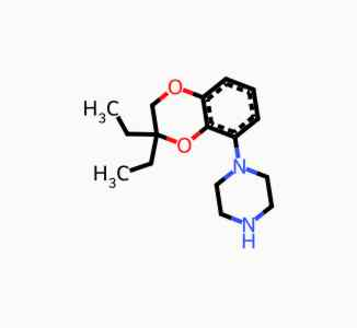 CCC1(CC)COc2cccc(N3CCNCC3)c2O1